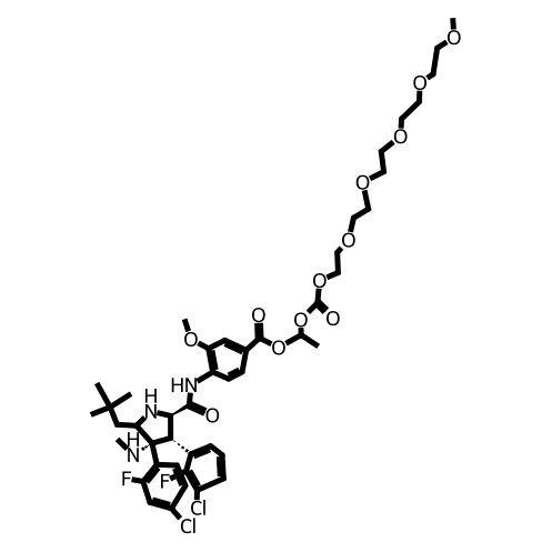 CN[C@]1(c2ccc(Cl)cc2F)C(CC(C)(C)C)N[C@@H](C(=O)Nc2ccc(C(=O)OC(C)OC(=O)OCCOCCOCCOCCOCCOC)cc2OC)[C@@H]1c1cccc(Cl)c1F